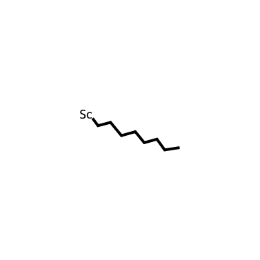 CCCCCCC[CH2][Sc]